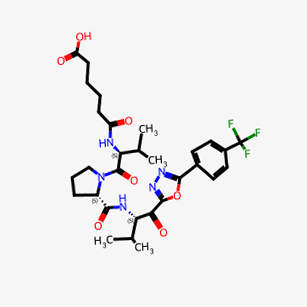 CC(C)[C@H](NC(=O)[C@@H]1CCCN1C(=O)[C@@H](NC(=O)CCCCC(=O)O)C(C)C)C(=O)c1nnc(-c2ccc(C(F)(F)F)cc2)o1